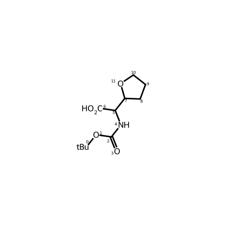 CC(C)(C)OC(=O)NC(C(=O)O)C1CCCO1